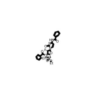 CCOP(=O)(C[C@H]1O[C@@H](n2ccc(NC(=O)c3ccccc3)nc2=O)[C@@H](F)C1OC(=O)c1ccccc1)OCC